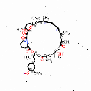 CO[C@H]1C[C@@H]2CC[C@@H](C)[C@@](O)(O2)C(=O)C(=O)N2CCCC[C@H]2C(=O)O[C@H]([C@H](C)C[C@@H]2CC[C@@H](OI)[C@H](OC)C2)CC(=O)[C@H](C)CC(C)[C@@H](O)CC(=O)[C@H](C)C[C@H](C)/C=C/C=C/C=C/1C